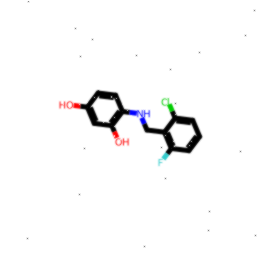 Oc1ccc(NCc2c(F)cccc2Cl)c(O)c1